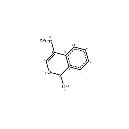 CCCCCC1=COC(O)c2ccccc21